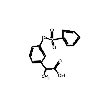 CC(C(=O)O)c1cccc(OS(=O)(=O)c2ccccc2)c1